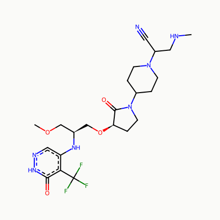 CNCC(C#N)N1CCC(N2CC[C@@H](OC[C@H](COC)Nc3cn[nH]c(=O)c3C(F)(F)F)C2=O)CC1